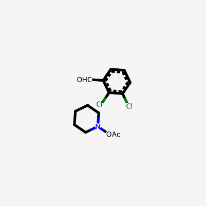 CC(=O)ON1CCCCC1.O=Cc1cccc(Cl)c1Cl